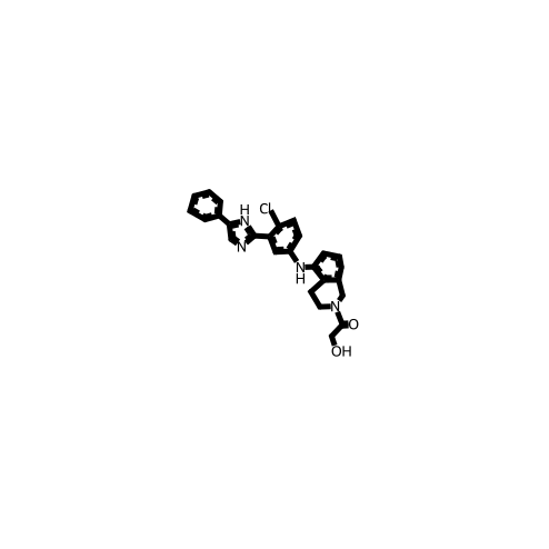 O=C(CO)N1CCc2c(cccc2Nc2ccc(Cl)c(-c3ncc(-c4ccccc4)[nH]3)c2)C1